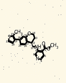 COC(=O)c1ccncc1NC[C@@H]1CCOc2cc(-c3ccsc3C)ccc21